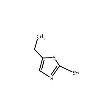 CCc1cnc(S)s1